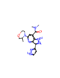 CC1COCCN1c1cc(C(=O)N(C)C)c2[nH]nc(-c3cc[nH]n3)c2n1